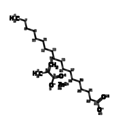 C=C(C)C(=O)[O-].CCCCCCCCCCCCCCCCCC(=O)[O-].[Zn+2]